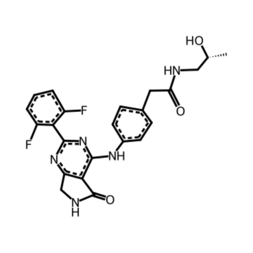 C[C@@H](O)CNC(=O)Cc1ccc(Nc2nc(-c3c(F)cccc3F)nc3c2C(=O)NC3)cc1